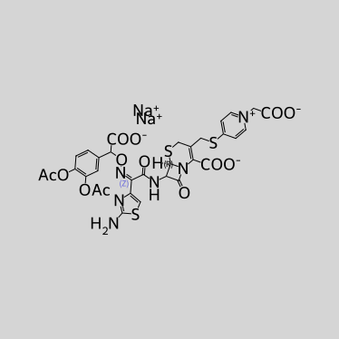 CC(=O)Oc1ccc(C(O/N=C(\C(=O)NC2C(=O)N3C(C(=O)[O-])=C(CSc4cc[n+](CC(=O)[O-])cc4)CS[C@H]23)c2csc(N)n2)C(=O)[O-])cc1OC(C)=O.[Na+].[Na+]